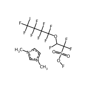 Cn1cc[n+](C)c1.O=S(=O)(OF)C(F)(F)C(F)OC(F)(F)C(F)(F)C(F)(F)C(F)(F)I